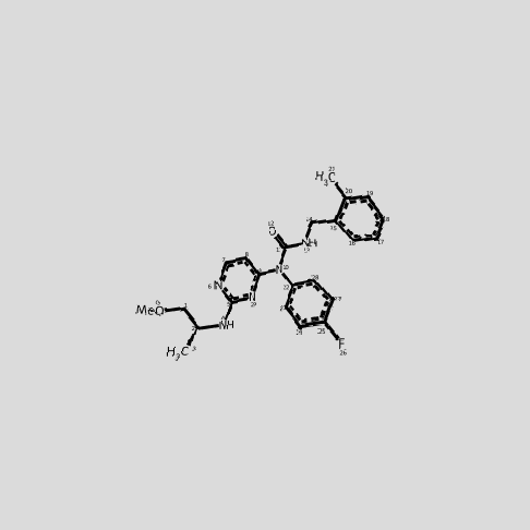 COC[C@H](C)Nc1nccc(N(C(=O)NCc2ccccc2C)c2ccc(F)cc2)n1